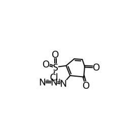 [N-]=[N+]=NC1=C(S(=O)(=O)Cl)C=CC(=O)C1=O